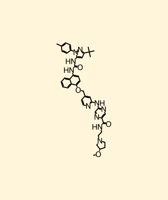 CO[C@@H]1CCN(CCNC(=O)c2cnc(Nc3cc(COc4ccc(NC(=O)Nc5cc(C(C)(C)C)nn5-c5ccc(C)cc5)c5ccccc45)ccn3)cn2)C1